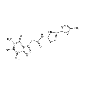 Cc1ccc(C2=CSC(NC(=O)Cn3cnc4c3c(=O)n(C)c(=O)n4C)N2)o1